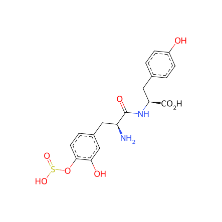 N[C@@H](Cc1ccc(OS(=O)O)c(O)c1)C(=O)N[C@@H](Cc1ccc(O)cc1)C(=O)O